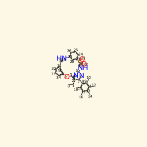 CCc1c2nc(nc1-c1c(C)c(C)c(C)c(C)c1C)NS(=O)(=O)c1cccc(c1)NCc1cccc(c1)O2